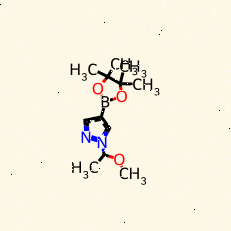 COC(C)n1cc(B2OC(C)(C)C(C)(C)O2)cn1